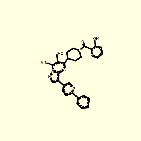 Nc1c(C=O)c(C2CCN(C(=O)c3ncccc3O)CC2)nc2c(-c3ccc(-c4ccccc4)nc3)cnn12